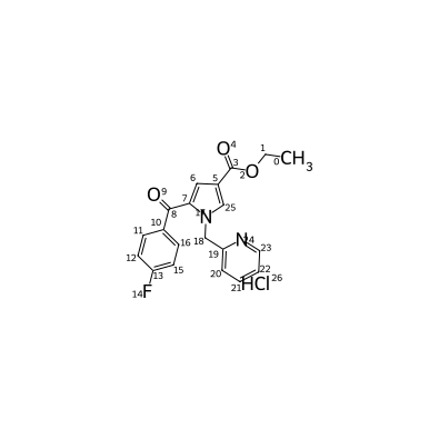 CCOC(=O)c1cc(C(=O)c2ccc(F)cc2)n(Cc2ccccn2)c1.Cl